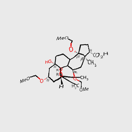 COCO[C@H]1C[C@H]2OC(C)(C)OC[C@]23C2C(CC[C@]3(O)C1)[C@@]1(OCOC)CC[C@H](C(=O)O)[C@@]1(C)C[C@H]2OCOC